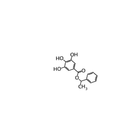 CC(OC(=O)c1cc(O)c(O)c(O)c1)c1ccccc1